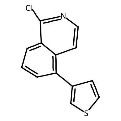 Clc1nccc2c(-c3ccsc3)cccc12